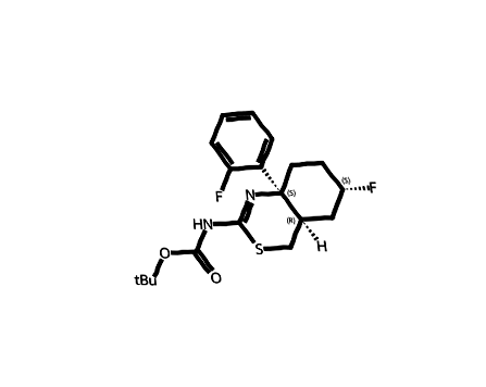 CC(C)(C)OC(=O)NC1=N[C@@]2(c3ccccc3F)CC[C@H](F)C[C@H]2CS1